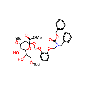 CCCCO[C@@H]1C[C@](OCOc2ccccc2OCN(Cc2ccccc2)C(=O)OCc2ccccc2)(C(=O)OC)OC([C@H](O)COC(C)(C)C)[C@@H]1O